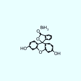 O=C1OC2(c3ccc(O)cc3Oc3cc(O)ccc32)c2ccccc21.[BiH3]